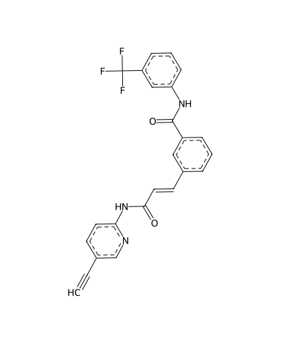 C#Cc1ccc(NC(=O)C=Cc2cccc(C(=O)Nc3cccc(C(F)(F)F)c3)c2)nc1